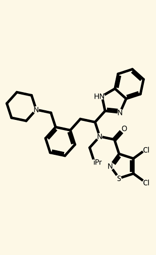 CC(C)CN(C(=O)c1nsc(Cl)c1Cl)C(Cc1ccccc1CN1CCCCC1)c1nc2ccccc2[nH]1